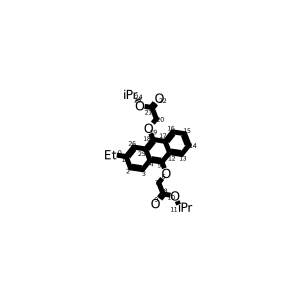 CCc1ccc2c(OCC(=O)OC(C)C)c3ccccc3c(OCC(=O)OC(C)C)c2c1